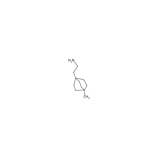 CC12CCC(CCN)(CC1)CC2